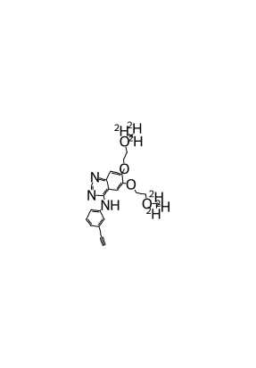 [2H]C([2H])([2H])OCCOc1cc2ncnc(Nc3cccc(C#C)c3)c2cc1OCCOC([2H])([2H])[2H]